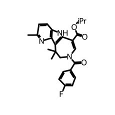 Cc1ccc2[nH]c3c(c2n1)C(C)(C)CN(C(=O)c1ccc(F)cc1)C=C3C(=O)OC(C)C